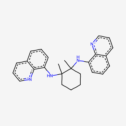 CC1(Nc2cccc3cccnc23)CCCCC1(C)Nc1cccc2cccnc12